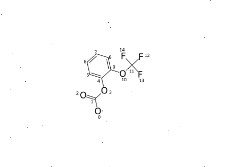 [O]C(=O)Oc1ccccc1OC(F)(F)F